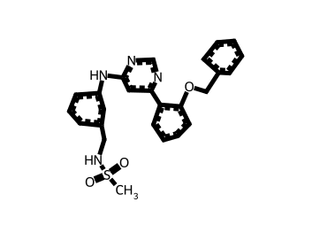 CS(=O)(=O)NCc1cccc(Nc2cc(-c3ccccc3OCc3ccccc3)ncn2)c1